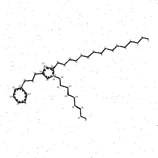 CCCCCCCCCCCCCCCCc1nc(CCCc2ccccc2)cn1CCCCCCCCC